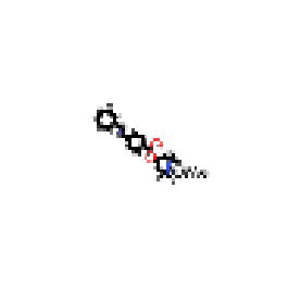 CON1C(C)(C)CC(OC(=O)C2CCC(/C=C/C3C=CC=CC=C3)CC2)CC1(C)C